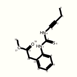 CCC#CNC(=S)Nc1ccccc1CC(=O)OC